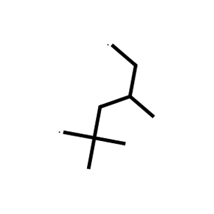 [CH2]CC(C)CC([CH2])(C)C